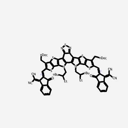 CCCCCCCCCCCc1c(/C=C2\C(=O)c3ccccc3C2=C(C#N)C#N)sc2c1sc1c3c4nsnc4c4c5sc6c(CCCCCCCCCCC)c(/C=C7\C(=O)c8ccccc8C7=C(C#N)C#N)sc6c5n(CC(CC)CCCC)c4c3n(CC(CC)CCCC)c21